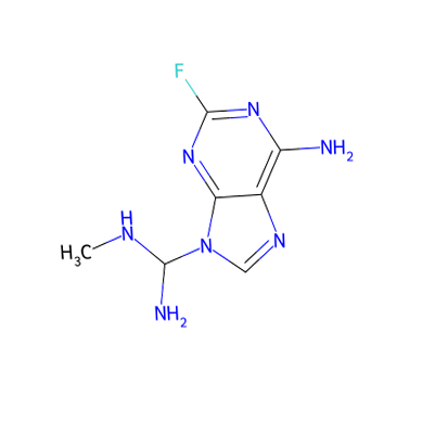 CNC(N)n1cnc2c(N)nc(F)nc21